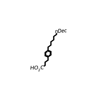 CCCCCCCCCCCCCCCCc1ccc(CCCC(=O)O)cc1